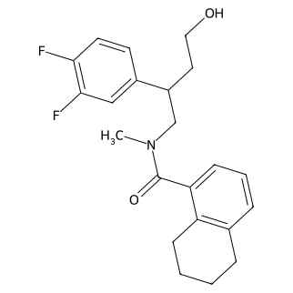 CN(CC(CCO)c1ccc(F)c(F)c1)C(=O)c1cccc2c1CCCC2